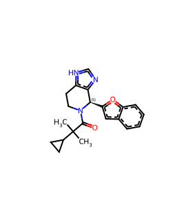 CC(C)(C(=O)N1CCc2[nH]cnc2[C@H]1c1cc2ccccc2o1)C1CC1